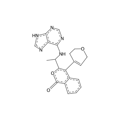 CC(Nc1ncnc2[nH]cnc12)c1oc(=O)c2ccccc2c1C1=CCOCC1